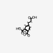 O=C(O)CCc1ccc(C(=O)O)c(C(=O)O)c1